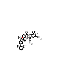 Cc1nc(N)cc(C(C)C)c1CNC(=O)c1ccc2c(c1)[C@@H]1O[C@H]2c2ccc(-c3c(F)ccc[n+]3[O-])cc21